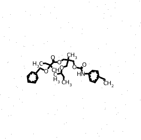 C=Cc1ccc(NC(=O)OCC(C)(COC(=O)C(C)(CC)OCc2ccccc2)COC(C)CC)cc1